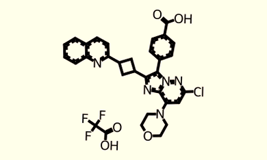 O=C(O)C(F)(F)F.O=C(O)c1ccc(-c2c(C3CC(c4ccc5ccccc5n4)C3)nc3c(N4CCOCC4)cc(Cl)nn23)cc1